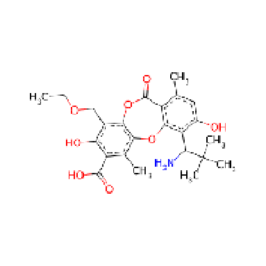 CCOCc1c(O)c(C(=O)O)c(C)c2c1OC(=O)c1c(C)cc(O)c(C(N)C(C)(C)C)c1O2